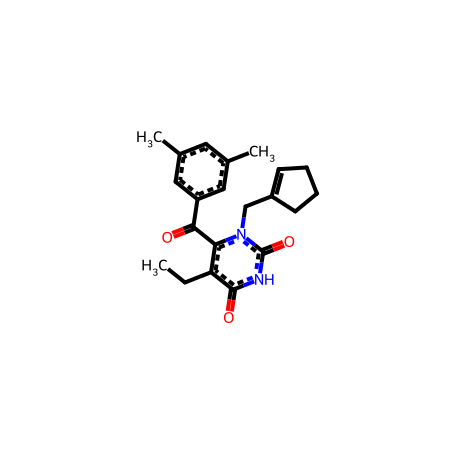 CCc1c(C(=O)c2cc(C)cc(C)c2)n(CC2=CCCC2)c(=O)[nH]c1=O